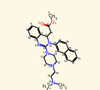 COC(=O)CC1c2ccccc2N=C(N2CCN(CCN(C)C)CC2)N1c1ccc2ccccc2c1